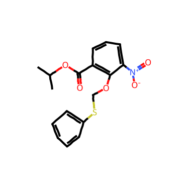 CC(C)OC(=O)c1cccc([N+](=O)[O-])c1OCSc1ccccc1